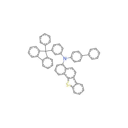 c1ccc(-c2ccc(N(c3cccc(C4(c5ccccc5)c5ccccc5-c5ccccc54)c3)c3cccc4c3ccc3c5ccccc5sc43)cc2)cc1